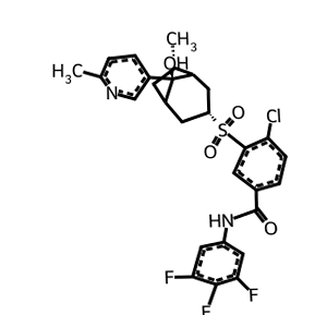 Cc1ccc([C@@]2(O)C3C[C@@H](S(=O)(=O)c4cc(C(=O)Nc5cc(F)c(F)c(F)c5)ccc4Cl)CC2[C@@H](C)C3)cn1